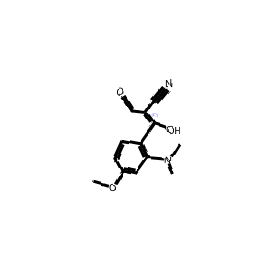 COc1ccc(/C(O)=C(/C#N)C=O)c(N(C)C)c1